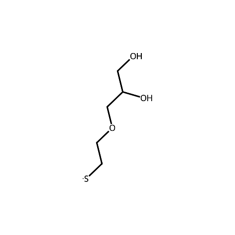 OCC(O)COCC[S]